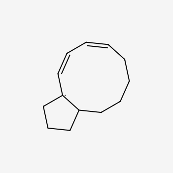 C1=C\CCCCC2CCC[C]2\C=C/1